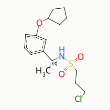 C[C@@H](NS(=O)(=O)CCCCl)c1cccc(OC2CCCC2)c1